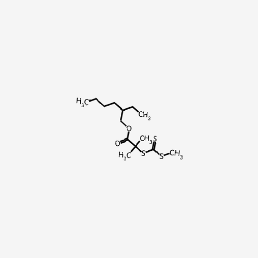 CCCCC(CC)COC(=O)C(C)(C)SC(=S)SC